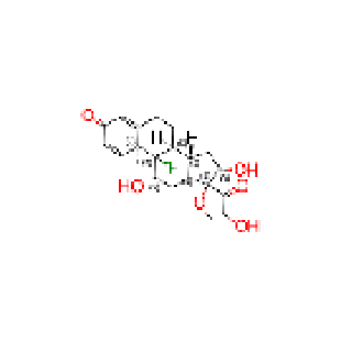 CO[C@]1(C(=O)CO)[C@H](O)C[C@H]2[C@@H]3CCC4=CC(=O)C=C[C@]4(C)[C@@]3(F)[C@@H](O)C[C@@]21C